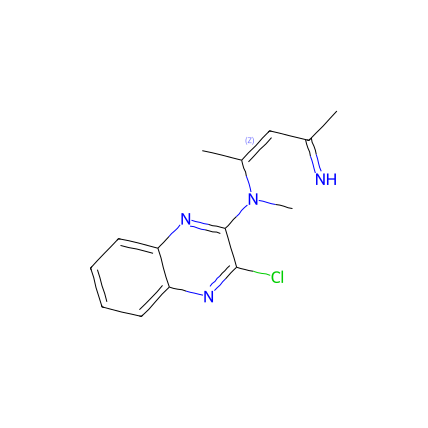 CC(=N)/C=C(/C)N(C)c1nc2ccccc2nc1Cl